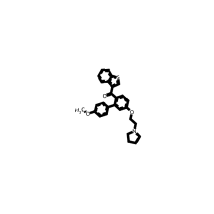 COc1ccc(-c2cc(OCCN3CCCC3)ccc2C(=O)c2csc3ccccc23)cc1